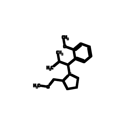 COCC1CCCN1C(c1ccccc1OC)C(C)C